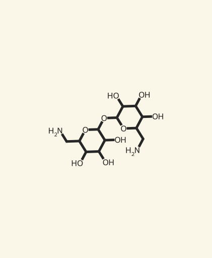 NCC1OC(OC2OC(CN)C(O)C(O)C2O)C(O)C(O)C1O